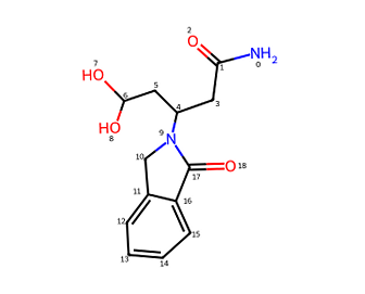 NC(=O)CC(CC(O)O)N1Cc2ccccc2C1=O